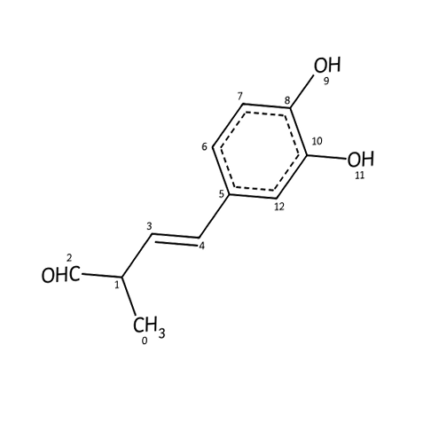 CC(C=O)C=Cc1ccc(O)c(O)c1